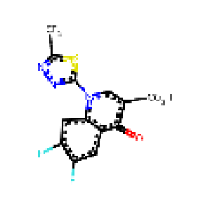 O=C(O)c1cn(-c2nnc(C(F)(F)F)s2)c2cc(F)c(F)cc2c1=O